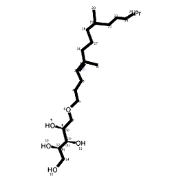 C/C(=C\CCCOC[C@H](O)[C@@H](O)[C@H](O)CO)CCCC(C)CCCC(C)C